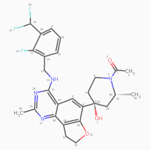 CC(=O)N1CC[C@@](O)(c2cc3c(NCc4cccc(C(F)F)c4F)nc(C)nc3c3c2OCC3)C[C@H]1C